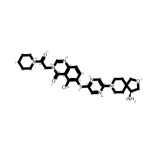 N[C@@H]1COCC12CCN(c1cnc(Sc3ccc4ncn(CC(=O)N5CCCCC5)c(=O)c4c3Cl)cn1)CC2